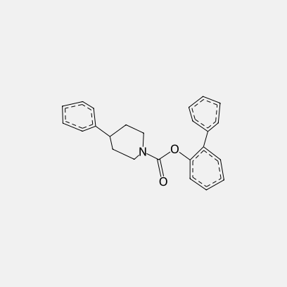 O=C(Oc1ccccc1-c1ccccc1)N1CCC(c2ccccc2)CC1